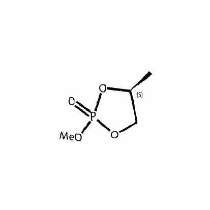 COP1(=O)OC[C@H](C)O1